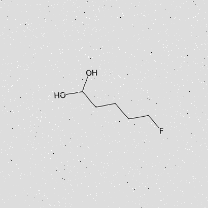 OC(O)CCCCF